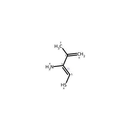 C=C(C)/C(N)=C/S